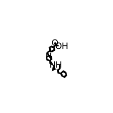 CC/C(=C\c1ccccc1)[C@@H]1C[C@H]1NCC1CCN(Cc2ccc(C(=O)O)cc2)CC1